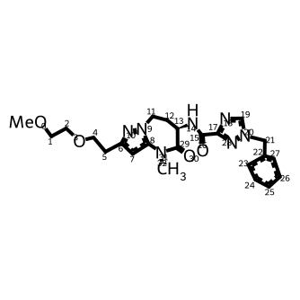 COCCOCCc1cc2n(n1)CC[C@@H](NC(=O)c1ncn(Cc3ccccc3)n1)C(=O)N2C